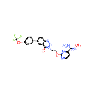 N/C(=N\O)c1ccnc(OCCn2nnc3ccc(-c4ccc(OC(F)(F)F)cc4)cc3c2=O)n1